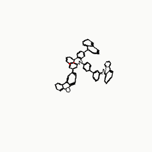 C1=C=C(c2ccc(-c3ccccc3)c(N(c3ccc(-c4cccc(-n5c6ccccc6c6ccccc65)c4)cc3)c3cccc(-c4ccc5oc6ccccc6c5c4)c3)c2)c2ccccc2C=1